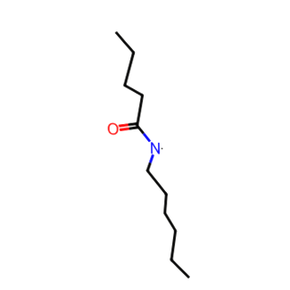 CCCCCC[N]C(=O)CCCC